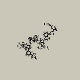 C#CCCC1(CCNc2ncnc3c2ncn3[C@H]2O[C@@H](COP(=O)(O)OP(=O)(O)OC[C@H]3O[C@@H](c4cccc(C(N)=O)c4)[C@H]4OC(C)(C)OC34)[C@H]3OC(C)(C)OC32)N=N1